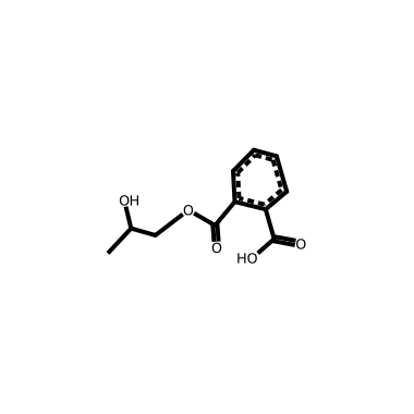 CC(O)COC(=O)c1ccccc1C(=O)O